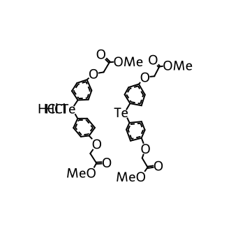 COC(=O)COc1ccc([Te]c2ccc(OCC(=O)OC)cc2)cc1.COC(=O)COc1ccc([Te]c2ccc(OCC(=O)OC)cc2)cc1.Cl.Cl